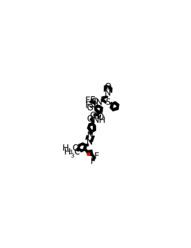 CC1(C)CCC(CN2CCN(c3ccc(C(=O)NS(=O)(=O)c4ccc(NC(CCN5CCOCC5)CSc5ccccc5)c(S(=O)(=O)C(F)(F)F)c4)cc3)CC2)=C(C23CC(C(F)F)(C2)C3)C1